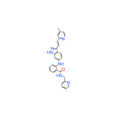 Cc1ccnc(C=Cc2n[nH]c3cc(Nc4ccccc4C(=O)NCc4ccccn4)ccc23)c1